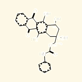 C[C@H](OC(=O)Nc1ccccc1)[C@@]1(O)Cc2c(O)c3c(c(O)c2[C@@H](O)C1)C(=O)c1ccccc1C3=O